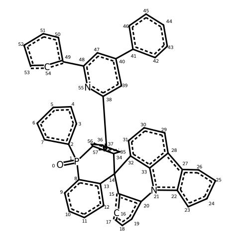 O=P1(c2ccccc2)c2ccccc2C2(c3ccccc3-n3c4ccccc4c4cccc2c43)c2ccc(-c3cc(-c4ccccc4)cc(-c4ccccc4)n3)cc21